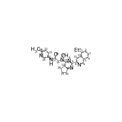 CCc1cccc2cnc(-c3nc4c(c(N(C)CC(=O)Nc5ccc(C)nc5)n3)CCC4)cc12